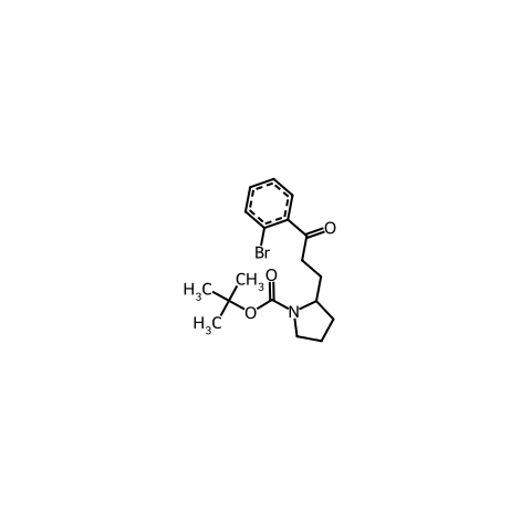 CC(C)(C)OC(=O)N1CCCC1CCC(=O)c1ccccc1Br